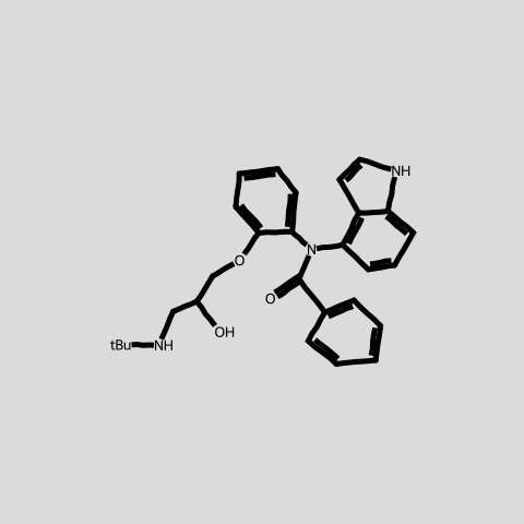 CC(C)(C)NCC(O)COc1ccccc1N(C(=O)c1ccccc1)c1cccc2[nH]ccc12